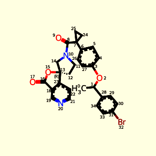 CC(Oc1ccc(C2(C(=O)N3CC[C@@]4(C3)OC(=O)c3cnccc34)CC2)cc1)c1ccc(Br)cc1